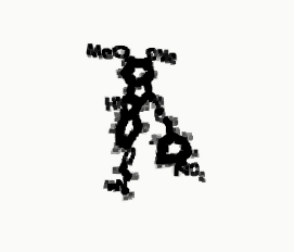 COc1cc2c(cc1OC)-c1[nH]c3ccc(OCCN(C)C)cc3c1C2=NOCc1ccc([N+](=O)[O-])cc1